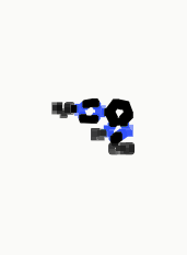 CCn1c(C=O)nc2cccc(N3CCN(C)CC3)c21